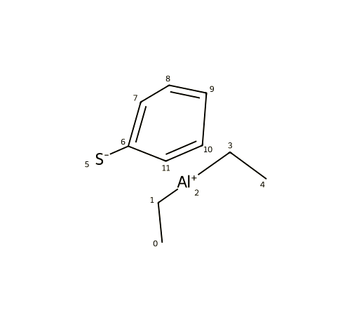 C[CH2][Al+][CH2]C.[S-]c1ccccc1